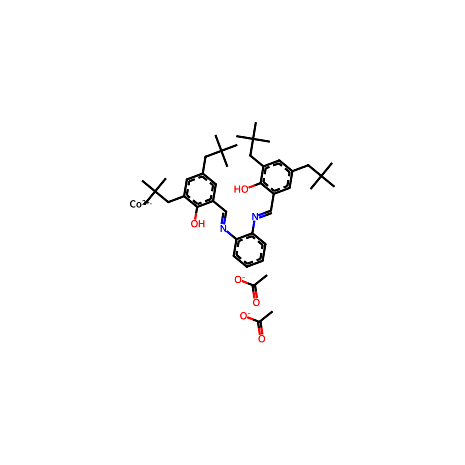 CC(=O)[O-].CC(=O)[O-].CC(C)(C)Cc1cc(C=Nc2ccccc2N=Cc2cc(CC(C)(C)C)cc(CC(C)(C)C)c2O)c(O)c(CC(C)(C)C)c1.[Co+2]